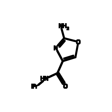 CC(C)NC(=O)c1coc(N)n1